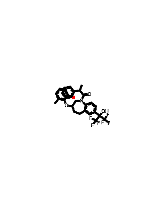 Cc1cccc(C)c1OC1CCc2cc(C(O)(C(F)(F)F)C(F)(F)F)ccc2N(C(=O)C(C)c2ccccc2)C1